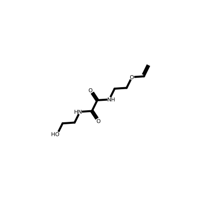 C=COCCNC(=O)C(=O)NCCO